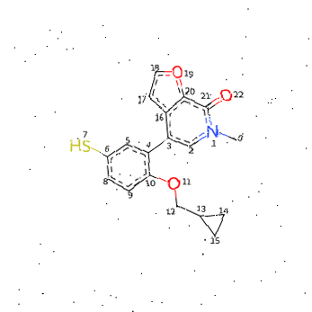 Cn1cc(-c2cc(S)ccc2OCC2CC2)c2ccoc2c1=O